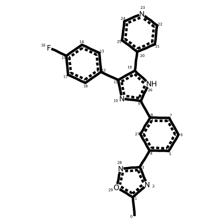 Cc1nc(-c2cccc(-c3nc(-c4ccc(F)cc4)c(-c4ccncc4)[nH]3)c2)no1